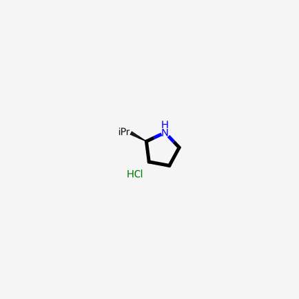 CC(C)[C@@H]1CCCN1.Cl